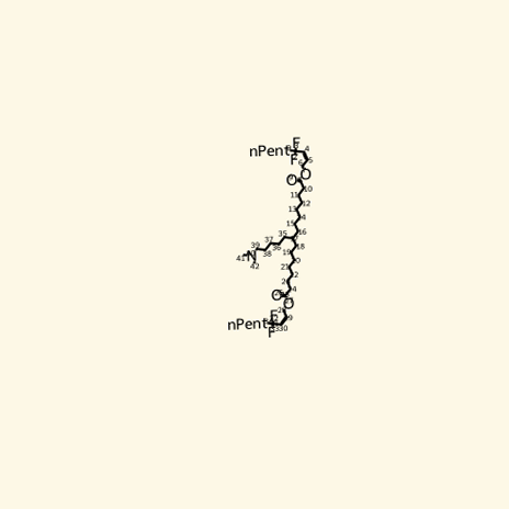 CCCCCC(F)(F)/C=C\COC(=O)CCCCCCCC(CCCCCCCC(=O)OC/C=C\C(F)(F)CCCCC)CCCCCN(C)C